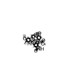 COC(=O)Nc1ccc(S(C)(=O)=O)c([C@H]2CCCN2C(=O)C(Nc2cc(F)c3c(c2)C(=O)NC3)c2ccc(OC)c(C)c2)c1